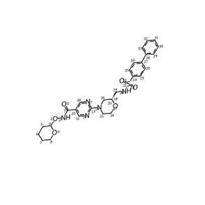 O=C(NOC1CCCCO1)c1cnc(N2CCO[C@H](CNS(=O)(=O)c3ccc(-c4ccccc4)cc3)C2)nc1